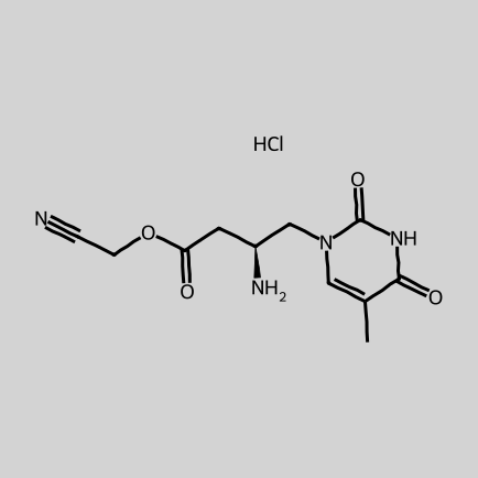 Cc1cn(C[C@@H](N)CC(=O)OCC#N)c(=O)[nH]c1=O.Cl